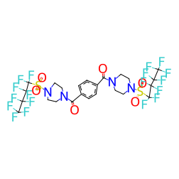 O=C(c1ccc(C(=O)N2CCN(S(=O)(=O)C(F)(F)C(F)(F)C(F)(F)C(F)(F)F)CC2)cc1)N1CCN(S(=O)(=O)C(F)(F)C(F)(F)C(F)(F)C(F)(F)F)CC1